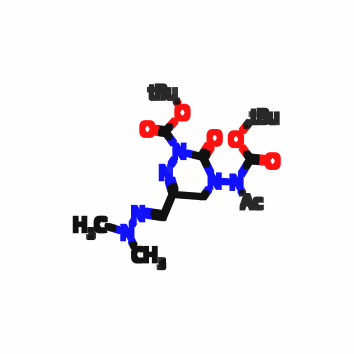 CC(=O)N(C(=O)OC(C)(C)C)N1CC(C=NN(C)C)=NN(C(=O)OC(C)(C)C)C1=O